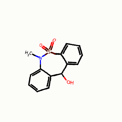 CN1c2ccccc2C(O)c2ccccc2S1(=O)=O